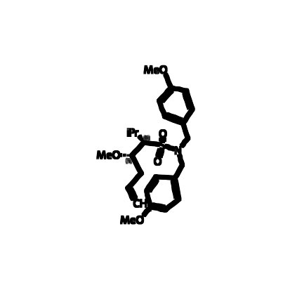 C=CC[C@H](OC)[C@@H](C(C)C)S(=O)(=O)N(Cc1ccc(OC)cc1)Cc1ccc(OC)cc1